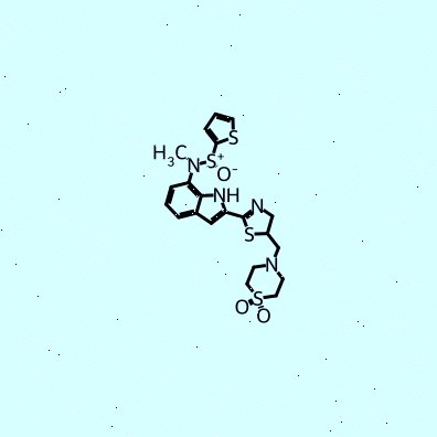 CN(c1cccc2cc(C3=NCC(CN4CCS(=O)(=O)CC4)S3)[nH]c12)[S+]([O-])c1cccs1